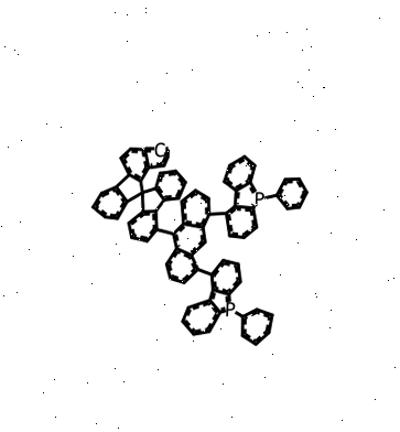 c1ccc(-p2c3ccccc3c3c(-c4cccc5c(-c6cccc7c6-c6ccccc6C76c7ccccc7-c7ccc8ccccc8c76)c6cccc(-c7cccc8c7c7ccccc7p8-c7ccccc7)c6cc45)cccc32)cc1